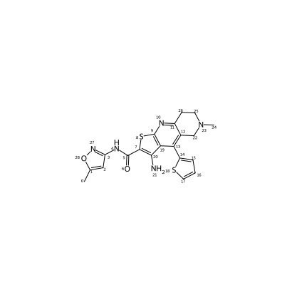 Cc1cc(NC(=O)c2sc3nc4c(c(-c5cccs5)c3c2N)CN(C)CC4)no1